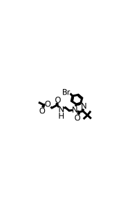 CC(=O)OCC(=O)NCCn1c(=O)c(C(C)(C)C)nc2ccc(Br)cc21